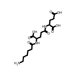 NCCCCCC(=O)NC(CCC(=O)NC(CCC(=O)O)C(=O)O)C(=O)O